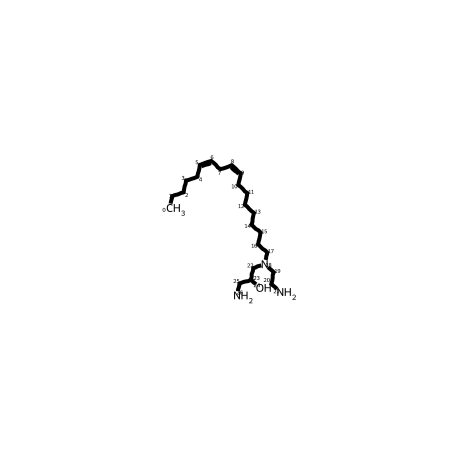 CCCCC/C=C\C/C=C\CCCCCCCCN(CCN)CC(O)CN